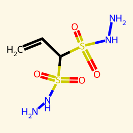 C=CC(S(=O)(=O)NN)S(=O)(=O)NN